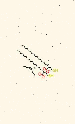 CCCCCCCCC=CCCCCCCC(CCS)C(=O)[O-].CCCCCCCCC=CCCCCCCC(CCS)C(=O)[O-].CCC[CH2][Sn+2][CH2]CCC